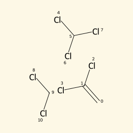 C=C(Cl)Cl.ClC(Cl)Cl.ClCCl